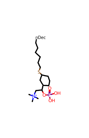 CCCCCCCCCCCCCCCCSC1CCCC(C(C[N+](C)(C)C)OP(=O)(O)O)C1